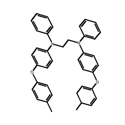 Cc1ccc(Oc2ccc(N(CCN(c3ccccc3)c3ccc(OC4=CCC(C)C=C4)cc3)c3ccccc3)cc2)cc1